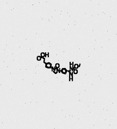 CCOC(=O)NC(=N)c1ccc(N2CCN(c3ccc(CCC(=O)O)cc3)C2=O)cc1